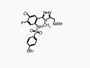 CNCc1nnc(-c2cc(Cl)c(F)cc2NS(=O)(=O)c2ccc(C(C)(C)C)cc2)n1C